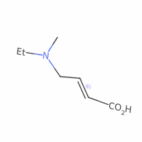 CCN(C)C/C=C/C(=O)O